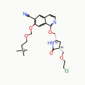 C[Si](C)(C)CCOCOc1cc2c(OC[C@@H]3C[C@H](COCCCl)C(=O)N3)nccc2cc1C#N